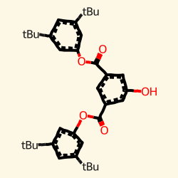 CC(C)(C)c1cc(OC(=O)c2cc(O)cc(C(=O)Oc3cc(C(C)(C)C)cc(C(C)(C)C)c3)c2)cc(C(C)(C)C)c1